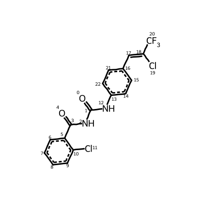 O=C(NC(=O)c1ccccc1Cl)Nc1ccc(/C=C(\Cl)C(F)(F)F)cc1